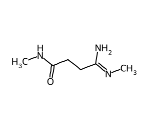 C/N=C(\N)CCC(=O)NC